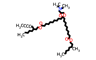 C=C=C=C=CC(CCCCC)CCOC(=O)CCCCCCCCCC1(CCCCCCCCCC(=O)OCCC(C)CCCCC)OCC(CN(CC)CC)O1